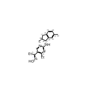 CC/C(=N\O)c1cnc(N[C@H]2c3cc(C)ccc3C[C@@H]2C)nc1CC